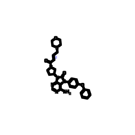 Nc1ncnc2c1n(-c1ccc(Oc3ccccc3)cc1)c(=O)n2C1CCN(C(=O)/C=C/CN2CCOCC2)C1